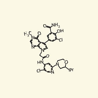 CC(C)C1CN(c2cc(NC(=O)Cn3cc(-c4cc(Cl)c(O)c(C(N)=O)c4)c4c(=O)n(C)cnc43)c(Cl)cn2)CCO1